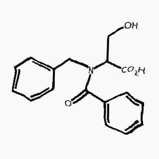 O=C(O)C(CO)N(Cc1ccccc1)C(=O)c1ccccc1